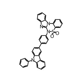 O=S1(=O)c2ccccc2-n2c(nc3ccccc32)N1c1ccc(-c2ccc3c(c2)c2ccccc2n3-c2ccccc2)cc1